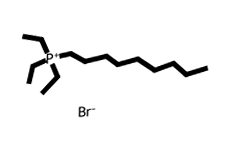 CCCCCCCCC[P+](CC)(CC)CC.[Br-]